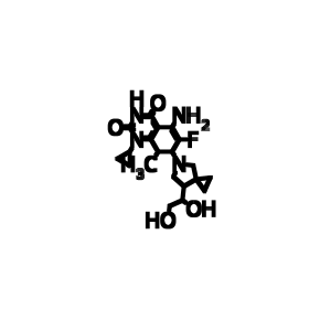 CC1c2c(c(=O)[nH]c(=O)n2C2CC2)C(N)=C(F)C1N1CC(C(O)CO)C2(CC2)C1